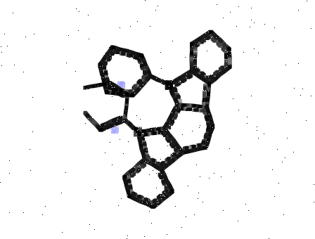 C/C=C\C(=C/C)n1c2ccccc2c2ccc3c4ccccc4n(-c4ccccc4)c3c21